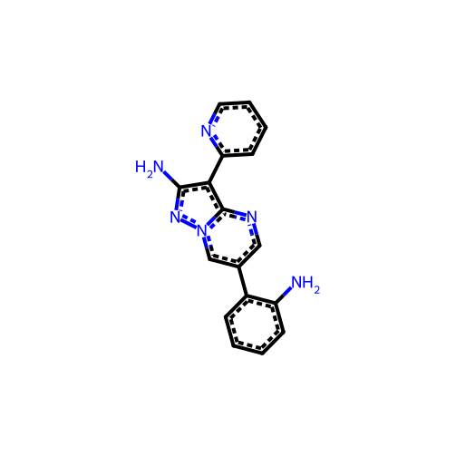 Nc1ccccc1-c1cnc2c(-c3ccccn3)c(N)nn2c1